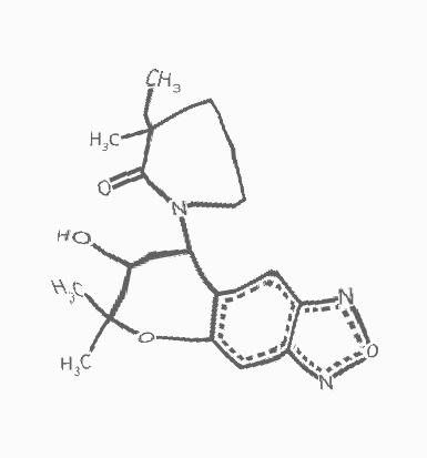 CC1(C)CCCN(C2c3cc4nonc4cc3OC(C)(C)C2O)C1=O